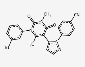 CCc1cccc(-n2c(C)c(-c3ccnn3-c3ccc(C#N)cc3)c(=O)n(C)c2=O)c1